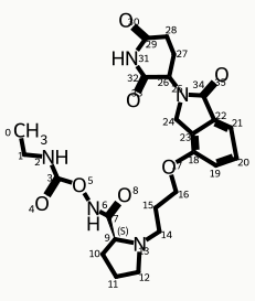 CCNC(=O)ONC(=O)[C@@H]1CCCN1CCCOc1cccc2c1CN(C1CCC(=O)NC1=O)C2=O